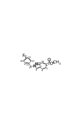 COC(=O)c1ccc2cn(Cc3ccc(F)cc3)nc2c1